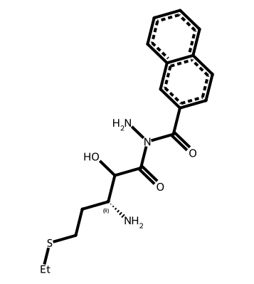 CCSCC[C@@H](N)C(O)C(=O)N(N)C(=O)c1ccc2ccccc2c1